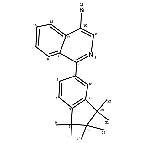 CC1(C)c2ccc(-c3ncc(Br)c4ccccc34)cc2C(C)(C)C1(C)C